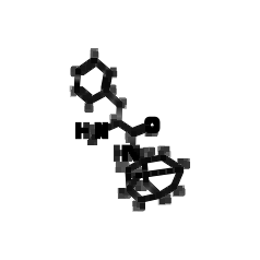 NC(Cc1ccccc1)C(=O)NC12CC3CC(CC(C3)C1)C2